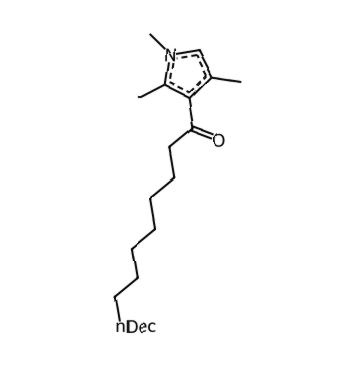 CCCCCCCCCCCCCCCCCC(=O)c1c(C)cn(C)c1C